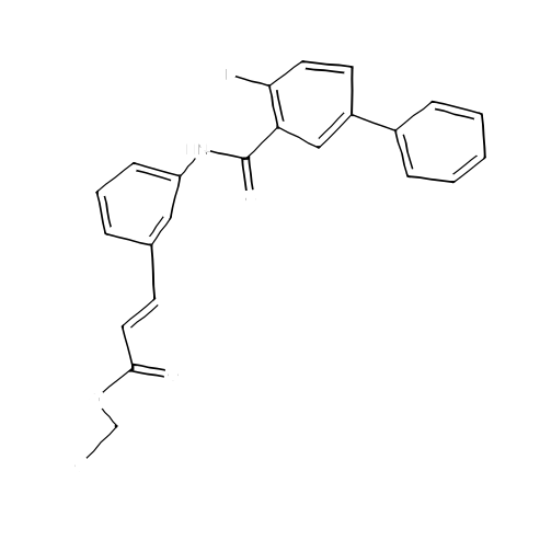 CCOC(=O)/C=C/c1cccc(NC(=O)c2cc(-c3ccccc3)ccc2F)c1